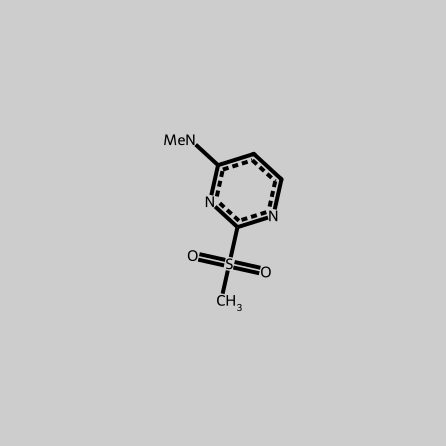 CNc1ccnc(S(C)(=O)=O)n1